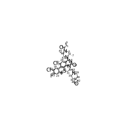 C=CC(=O)N1C[C@H](C)N(c2nc(=O)n3c4c(c(-c5cc(Cl)c(F)cc5F)c(Cl)cc24)SC[C@@H]3CN2CCC3(CC2)COC3)C[C@H]1C